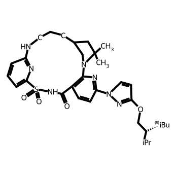 CC[C@@H](C)C(COc1ccn(-c2ccc3c(n2)N2CC(CCCNc4cccc(n4)S(=O)(=O)NC3=O)CC2(C)C)n1)C(C)C